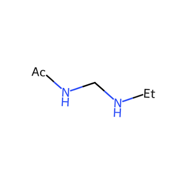 CCNCNC(C)=O